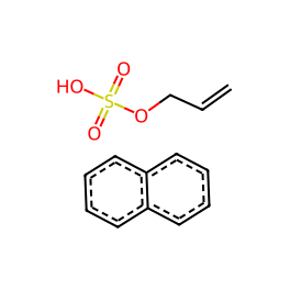 C=CCOS(=O)(=O)O.c1ccc2ccccc2c1